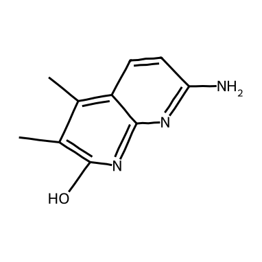 Cc1c(O)nc2nc(N)ccc2c1C